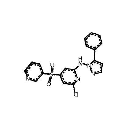 O=S(=O)(c1cccnc1)c1cc(Cl)nc(Nn2nccc2-c2ccccc2)c1